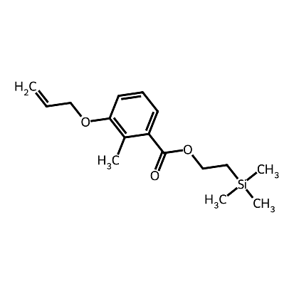 C=CCOc1cccc(C(=O)OCC[Si](C)(C)C)c1C